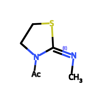 C/N=C1/SCCN1C(C)=O